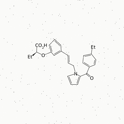 CCc1ccc(C(=O)c2cccn2C/C=C/c2cccc(O[C@@H](CC)C(=O)O)c2)cc1